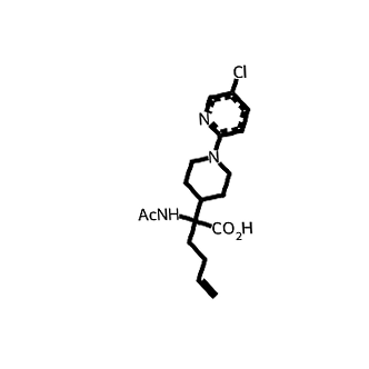 C=CCCC(NC(C)=O)(C(=O)O)C1CCN(c2ccc(Cl)cn2)CC1